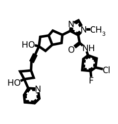 Cn1cnc(C2CC3CC(O)(C#CC4CC(O)(c5ccccn5)C4)CC3C2)c1C(=O)Nc1ccc(F)c(Cl)c1